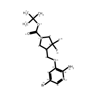 CC(C)(C)OC(=O)N1CC(COc2cc(Br)cnc2N)C(F)(F)C1